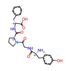 N[C@H](Cc1ccc(O)cc1)C(=O)NCC(=O)N1CCC[C@H]1C(=O)N[C@H](Cc1ccccc1)C(=O)O